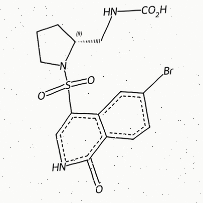 O=C(O)NC[C@H]1CCCN1S(=O)(=O)c1c[nH]c(=O)c2ccc(Br)cc12